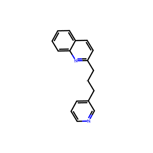 [CH](Cc1cccnc1)Cc1ccc2ccccc2n1